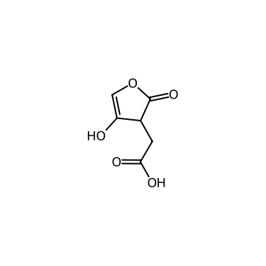 O=C(O)CC1C(=O)OC=C1O